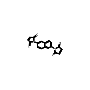 O=C1C=CC(=O)N1c1ccc2cc(N3C(=O)C=CC3=O)ccc2c1